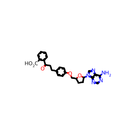 Nc1ncnc2c1ncn2C1CCC(COc2ccc(CCC(=O)c3ccccc3C(=O)O)cc2)O1